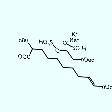 CCCCCCCCC=CCCCCCCC(CCCC)C(=O)[O-].CCCCCCCCCCCCOS(=O)(=O)O.O=S(=O)([O-])O.[K+].[Na+]